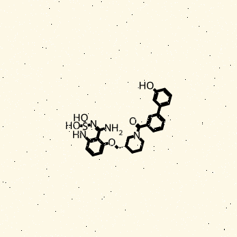 NC1=NS(O)(O)Nc2cccc(OC[C@H]3CCCN(C(=O)c4cccc(-c5cccc(O)c5)c4)C3)c21